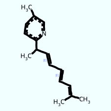 CC(C)=C/C=C/C=C/C(C)c1ccc(C)cn1